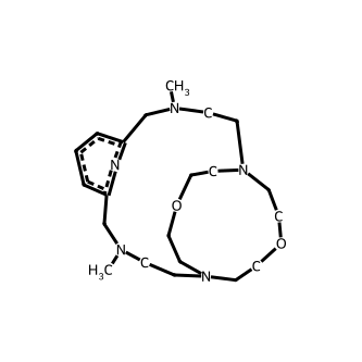 CN1CCN2CCOCCN(CCOCC2)CCN(C)Cc2cccc(n2)C1